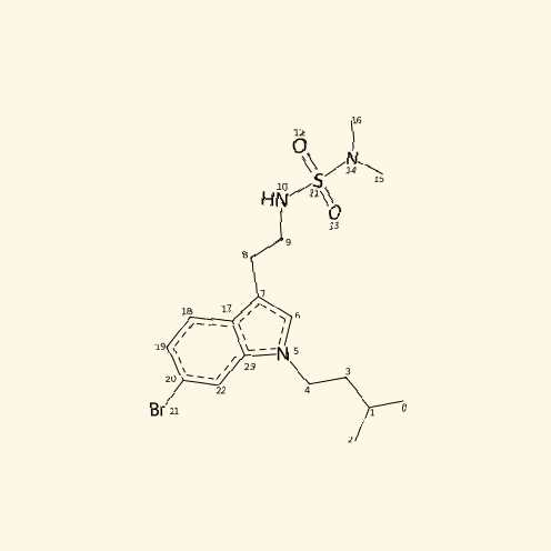 CC(C)CCn1cc(CCNS(=O)(=O)N(C)C)c2ccc(Br)cc21